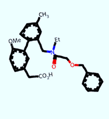 CCN(Cc1cc(C)ccc1-c1cc(CC(=O)O)ccc1OC)C(=O)COCc1ccccc1